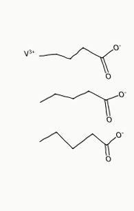 CCCCC(=O)[O-].CCCCC(=O)[O-].CCCCC(=O)[O-].[V+3]